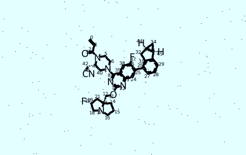 C=CC(=O)N1CCN(c2nc(OC[C@@]34CCCN3C[C@H](F)C4)nc3cc(-c4cccc5c4C[C@H]4C[C@@H]54)c(F)cc23)C[C@@H]1CC#N